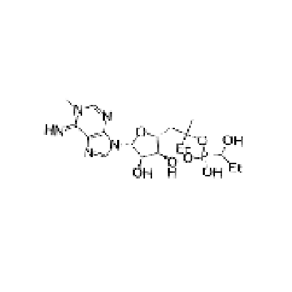 CCC(O)P(=O)(O)OC(C)(CC)C[C@H]1O[C@@H](n2cnc3c(=N)n(C)cnc32)[C@H](O)[C@@H]1O